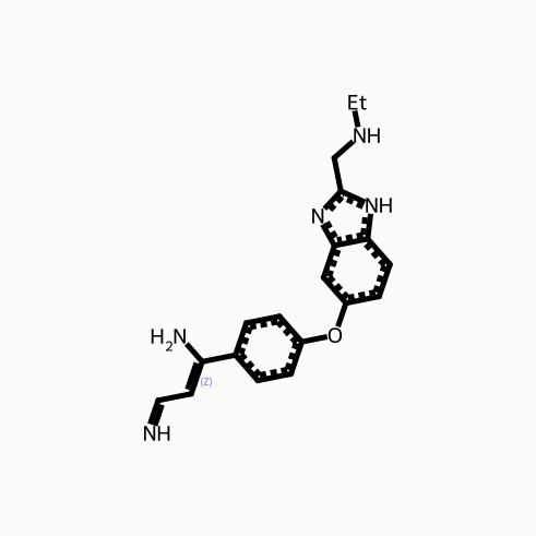 CCNCc1nc2cc(Oc3ccc(/C(N)=C/C=N)cc3)ccc2[nH]1